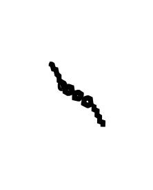 CCCCCCCCOc1ccc(C2=CCC([C@H]3CC[C@H](CCCCCCCC)CC3)C=C2)cc1